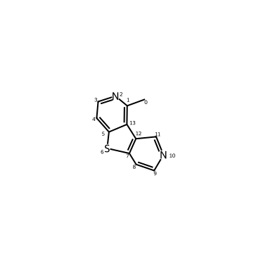 Cc1nccc2sc3ccncc3c12